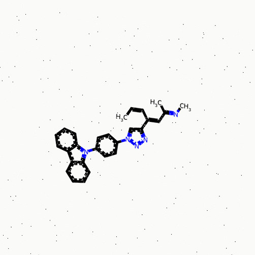 C\C=C/C(=C\C(C)=N\C)c1cn(-c2ccc(-n3c4ccccc4c4ccccc43)cc2)nn1